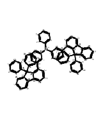 c1ccc(N(c2cccc(-c3cccc4c3C(c3ccccc3)(c3ccccc3)c3ccccc3-4)c2)c2cccc(-c3cccc4c3C(c3ccccc3)(c3ccccc3)c3ccccc3-4)c2)cc1